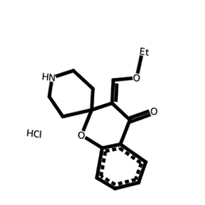 CCO/C=C1\C(=O)c2ccccc2OC12CCNCC2.Cl